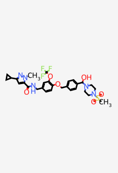 Cn1nc(C2CC2)cc1C(=O)NCc1ccc(OCc2ccc(C(O)N3CCN(S(C)(=O)=O)CC3)cc2)c(OC(F)(F)F)c1